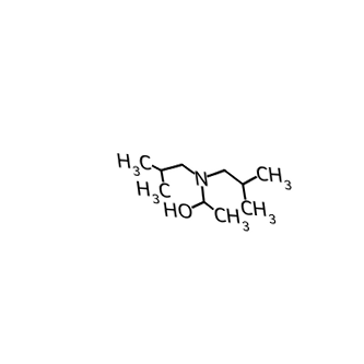 CC(C)CN(CC(C)C)C(C)O